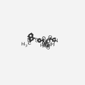 Cc1cc(COc2ccc(C(=O)N[C@@H]3CN(C(=O)c4ccncc4)C[C@]34NC(=O)NC4=O)cc2)c2ccccc2n1